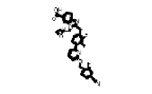 Cc1c(-c2cccc(OCc3ccc(C#N)cc3F)n2)ccc(Cc2nc3ccc(C(=O)O)cc3n2C[C@@H]2CCO2)c1F